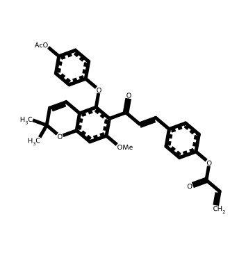 C=CC(=O)Oc1ccc(C=CC(=O)c2c(OC)cc3c(c2Oc2ccc(OC(C)=O)cc2)C=CC(C)(C)O3)cc1